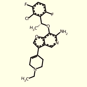 CCN1CC=C(c2coc3c(O[C@H](C)c4c(F)ccc(F)c4Cl)c(N)ncc23)CC1